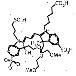 COCCOCCC1(C)C(/C=C/C=C2/N(CCCS(=O)(=O)O)c3ccc(S(=O)(=O)[O-])cc3C2(C)CCOCCOC)=[N+](CCCCCC(=O)O)c2ccc(S(=O)(=O)O)cc21